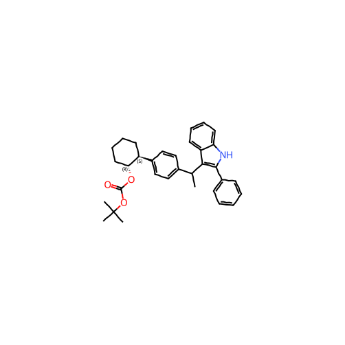 CC(c1ccc([C@@H]2CCCC[C@H]2OC(=O)OC(C)(C)C)cc1)c1c(-c2ccccc2)[nH]c2ccccc12